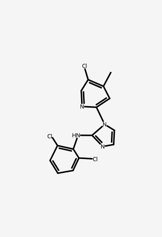 Cc1cc(-n2ccnc2Nc2c(Cl)cccc2Cl)ncc1Cl